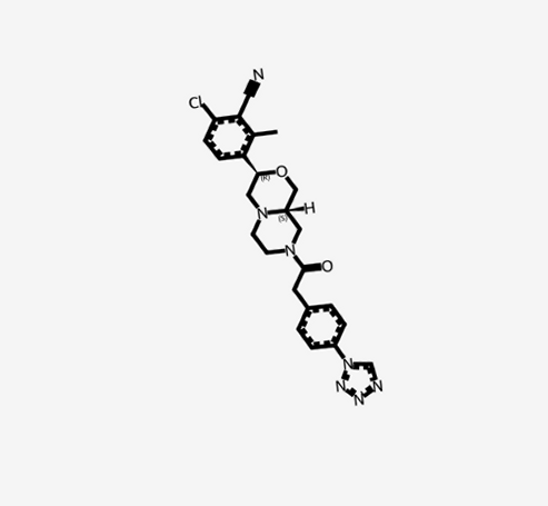 Cc1c([C@@H]2CN3CCN(C(=O)Cc4ccc(-n5cnnn5)cc4)C[C@H]3CO2)ccc(Cl)c1C#N